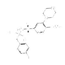 COc1ccc(S(=O)(=O)NC(C)(C)Cc2ccc(F)cc2)cc1N1CCNCC1